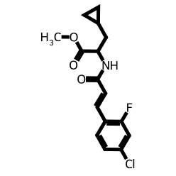 COC(=O)C(CC1CC1)NC(=O)C=Cc1ccc(Cl)cc1F